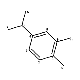 Cc1ccc(C(C)C)cc1C